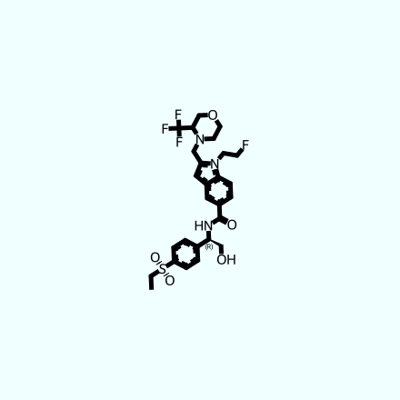 CCS(=O)(=O)c1ccc([C@H](CO)NC(=O)c2ccc3c(c2)cc(CN2CCOCC2C(F)(F)F)n3CCF)cc1